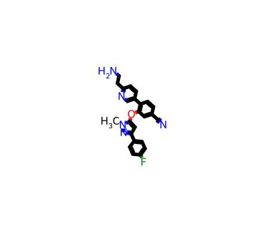 Cn1nc(-c2ccc(F)cc2)cc1Oc1cc(C#N)ccc1-c1ccc(CCN)nc1